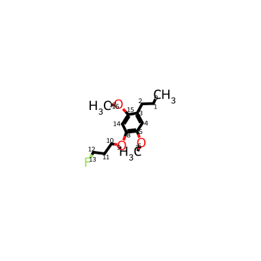 CCCc1cc(OC)c(OCCCF)cc1OC